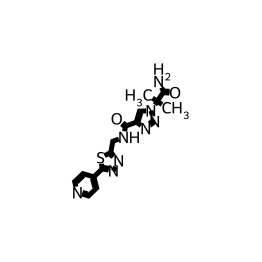 CC(C)(C(N)=O)n1cc(C(=O)NCc2nnc(-c3ccncc3)s2)nn1